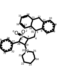 O=S1(=O)C(C[C@@H]2c3ccccc3CC3C=CC=CC32)C(N2CCCCC2)C1c1ccccc1